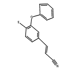 N#CC=Cc1ccc(F)c(Oc2ccccc2)c1